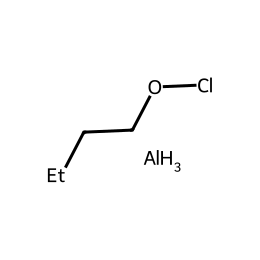 CCCCOCl.[AlH3]